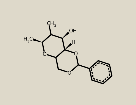 CC1[C@H](C)OC2COC(c3ccccc3)O[C@H]2[C@@H]1O